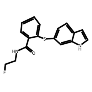 O=C(NCCF)c1ccccc1Sc1ccc2cc[nH]c2c1